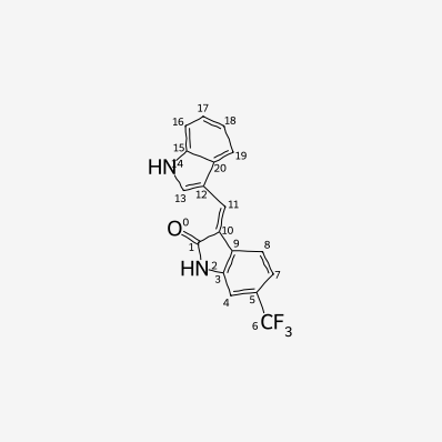 O=C1Nc2cc(C(F)(F)F)ccc2/C1=C/c1c[nH]c2ccccc12